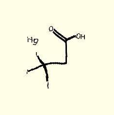 O=C(O)CC(I)(I)I.[Hg]